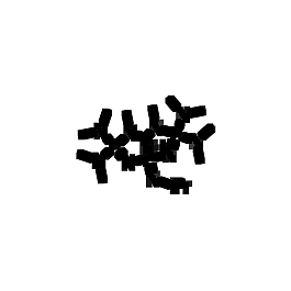 CC(C)N=P(N)(N=P(N(C)C)(N(C)C)N(C)C)N=P(N(C)C)(N(C)C)N(C)C